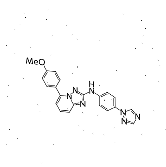 COc1ccc(-c2cccc3nc(Nc4ccc(-n5cncn5)cc4)nn23)cc1